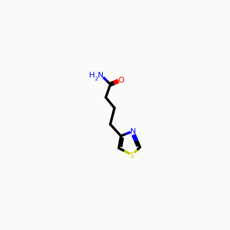 NC(=O)CCCc1cscn1